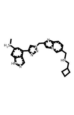 C[SiH2]c1cc(-c2cn(Cc3cn4cc(CNCC5CCC5)ccc4n3)nn2)c2cn[nH]c2c1